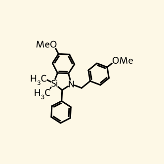 COc1ccc(CN2c3ccc(OC)cc3[Si](C)(C)C2c2ccccc2)cc1